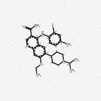 CCOc1cc2ncc(C(N)=O)c(Nc3ccc(C)cc3F)c2cc1C1CCN(C(C)C)CC1